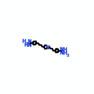 N=C(N)c1ccc(CCCCC2CCN(CCCCc3ccc(C(=N)N)cc3)CC2)cc1